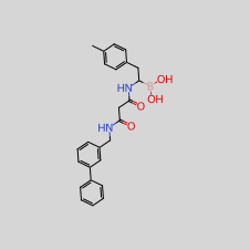 Cc1ccc(CC(NC(=O)CC(=O)NCc2cccc(-c3ccccc3)c2)B(O)O)cc1